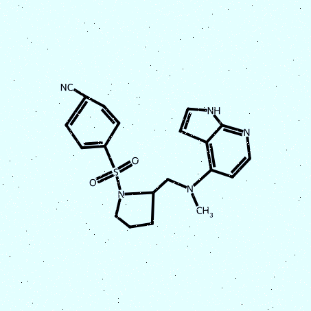 CN(CC1CCCN1S(=O)(=O)c1ccc(C#N)cc1)c1ccnc2[nH]ccc12